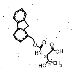 C[C@@H](O)[C@H](NC(=O)OCc1cccc2c1Cc1ccccc1-2)C(=O)O